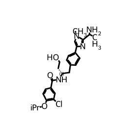 CC(C)Oc1ccc(C(=O)N[C@H](CCO)Cc2ccc(-c3cn(C)c(C(C)N)n3)cc2)cc1Cl